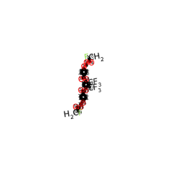 C=C(F)C(=O)OCOc1ccc(C(=O)Oc2ccc(OC(=O)c3ccc(OCOC(=O)C(=C)F)cc3)c(C(F)(F)F)c2C(F)(F)F)cc1